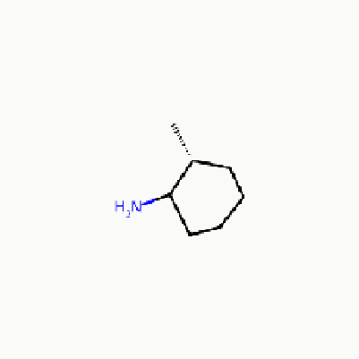 C[C@@H]1CCCCC1N